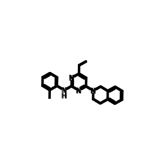 CCc1cc(N2CCc3ccccc3C2)nc(Nc2ccccc2C)n1